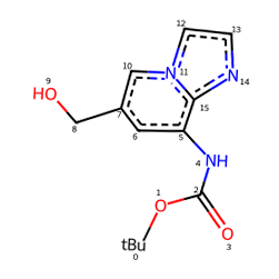 CC(C)(C)OC(=O)Nc1cc(CO)cn2ccnc12